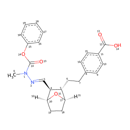 CN(N=C[C@H]1[C@H](CCc2ccc(C(=O)O)cc2)[C@H]2CC[C@@H]1O2)C(=O)Oc1ccccc1